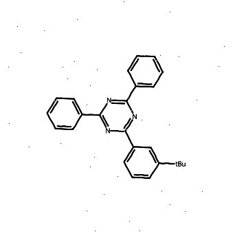 CC(C)(C)c1cccc(-c2nc(-c3ccccc3)nc(-c3ccccc3)n2)c1